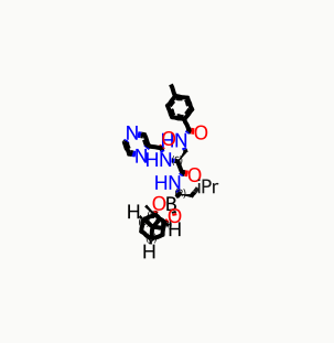 Cc1ccc(C(=O)NC[C@H](NC(=O)c2cnccn2)C(=O)N[C@@H](CC(C)C)B2O[C@@H]3C[C@@H]4C[C@@H](C4(C)C)[C@]3(C)O2)cc1